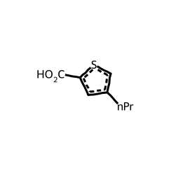 CCCc1csc(C(=O)O)c1